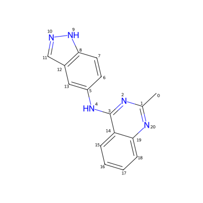 Cc1nc(Nc2ccc3[nH]ncc3c2)c2ccccc2n1